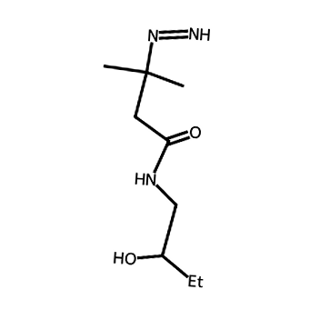 CCC(O)CNC(=O)CC(C)(C)N=N